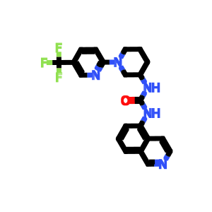 O=C(Nc1cccc2cnccc12)NC1CCCN(c2ccc(C(F)(F)F)cn2)C1